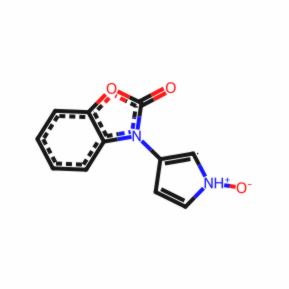 O=c1oc2ccccc2n1C1=[C][NH+]([O-])C=C1